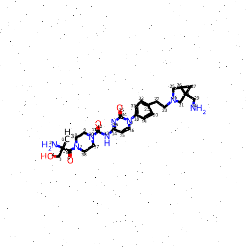 CC(N)(CO)C(=O)N1CCN(C(=O)Nc2ccn(-c3ccc(CCN4CC5CC5(CN)C4)cc3)c(=O)n2)CC1